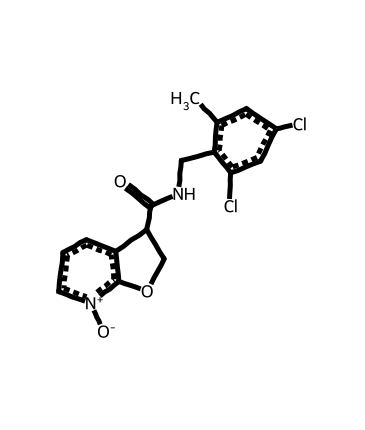 Cc1cc(Cl)cc(Cl)c1CNC(=O)C1COc2c1ccc[n+]2[O-]